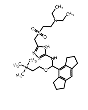 CCN(CC)CCS(=O)(=O)Cc1nnc(NC(OCC[Si](C)(C)C)c2c3c(cc4c2CCC4)CCC3)[nH]1